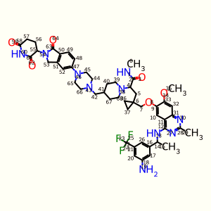 CNC(=O)C(CC1(COc2cc3c(NC(C)c4cc(N)cc(C(F)(F)F)c4)nc(C)nc3cc2OC)CC1)N1CCC(CN2CCN(c3ccc4c(c3)CN(C3CCC(=O)NC3=O)C4=O)CC2)CC1